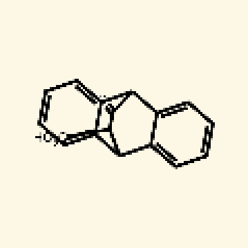 O=C(O)C1C(=O)C2c3ccccc3C1c1ccccc12